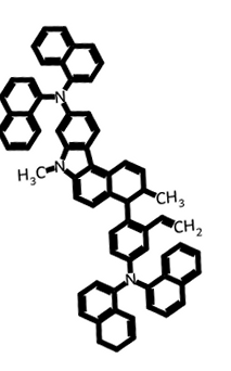 C=Cc1cc(N(c2cccc3c2C=CCC3)c2cccc3ccccc23)ccc1C1c2ccc3c(c2C=CC1C)c1ccc(N(c2cccc4ccccc24)c2cccc4ccccc24)cc1n3C